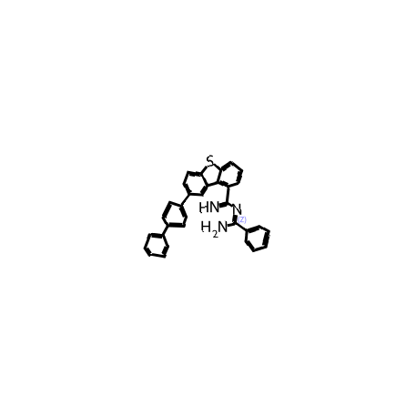 N=C(/N=C(\N)c1ccccc1)c1cccc2sc3ccc(-c4ccc(-c5ccccc5)cc4)cc3c12